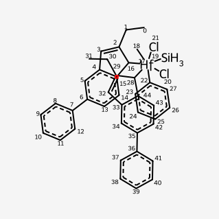 CCC1=Cc2cc(-c3ccccc3)ccc2[CH]1[Hf]([CH3])([SiH3])([Cl])([Cl])([c]1ccccc1)[CH]1C(CC)=Cc2cc(-c3ccccc3)ccc21